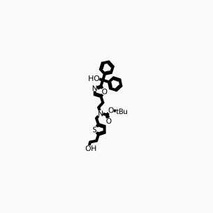 CC(C)(C)OC(=O)N(CCc1cnc(C(O)(c2ccccc2)c2ccccc2)o1)Cc1ccc(CCO)s1